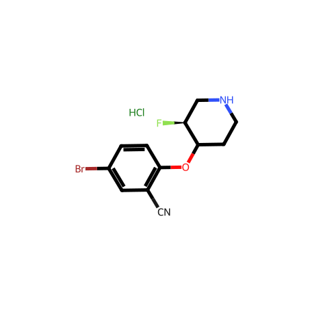 Cl.N#Cc1cc(Br)ccc1OC1CCNC[C@@H]1F